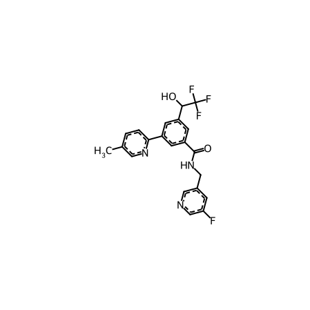 Cc1ccc(-c2cc(C(=O)NCc3cncc(F)c3)cc(C(O)C(F)(F)F)c2)nc1